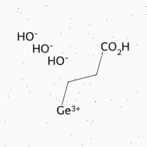 O=C(O)C[CH2][Ge+3].[OH-].[OH-].[OH-]